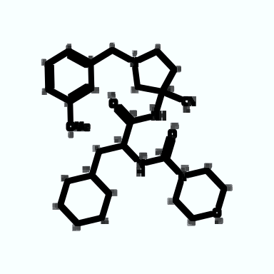 COc1cccc(CN2CCC(C#N)(NC(=O)C(CC3CCCCC3)NC(=O)N3CCOCC3)C2)c1